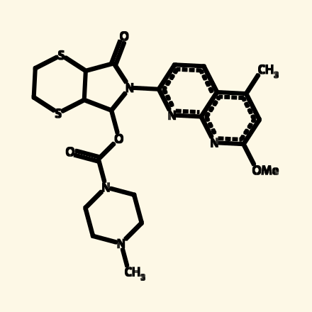 COc1cc(C)c2ccc(N3C(=O)C4SCCSC4C3OC(=O)N3CCN(C)CC3)nc2n1